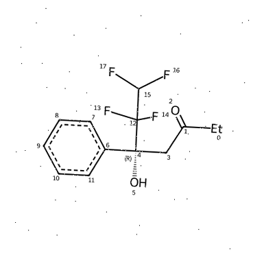 CCC(=O)C[C@@](O)(c1ccccc1)C(F)(F)C(F)F